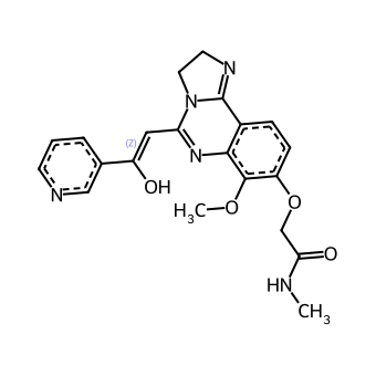 CNC(=O)COc1ccc2c(c1OC)N=C(/C=C(\O)c1cccnc1)N1CCN=C21